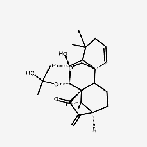 C=C1C(=O)[C@@]23C(CC[C@@H]1[C@H]2C)[C@]12C=CCC(C)(C)C1[C@H](O)[C@@]3(OC(C)(C)O)OC2